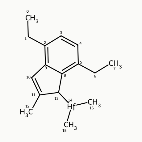 CCc1ccc(CC)c2c1C=C(C)[CH]2[Hf]([CH3])[CH3]